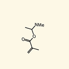 C=C(C)C(=O)OC(C)NC